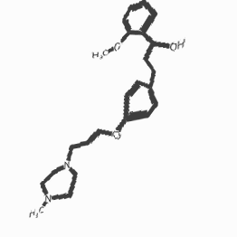 COc1ccccc1C(O)CCc1ccc(OCCCN2CCN(C)CC2)cc1